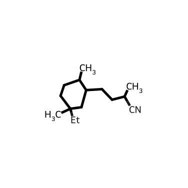 CCC1(C)CCC(C)C(CCC(C)C#N)C1